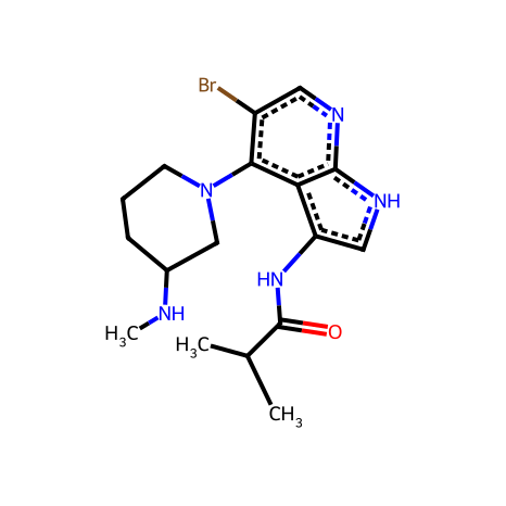 CNC1CCCN(c2c(Br)cnc3[nH]cc(NC(=O)C(C)C)c23)C1